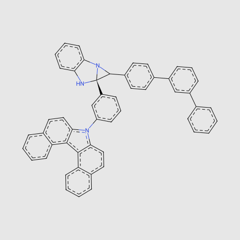 c1ccc(-c2cccc(-c3ccc(C4N5c6ccccc6N[C@@]45c4cccc(-n5c6ccc7ccccc7c6c6c7ccccc7ccc65)c4)cc3)c2)cc1